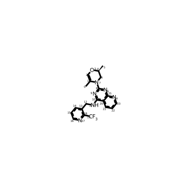 CC1=CO[C@@H](C)CN1c1nc(NCc2cccnc2C(F)(F)F)c2cccnc2n1